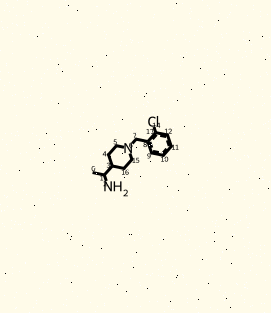 CC(N)C1CCN(Cc2ccccc2Cl)CC1